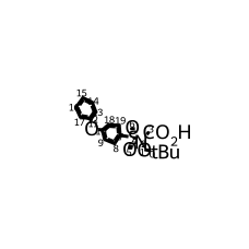 CC(C)(C)ON(C(=O)O)S(=O)(=O)c1ccc(Oc2ccccc2)cc1